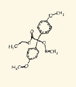 C=NOC(C(=O)OCC)(c1ccc(OC)cc1)c1ccc(OC)cc1